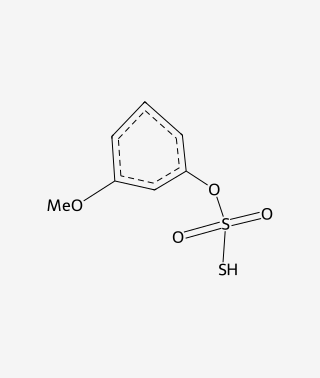 COc1cccc(OS(=O)(=O)S)c1